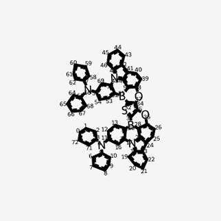 c1ccc(N(c2ccccc2)c2ccc3c(c2)-n2c4ccccc4c4ccc5c(c42)B3c2sc3c(c2O5)Oc2ccc4c5ccccc5n5c4c2B3c2ccc(N(c3ccccc3)c3ccccc3)cc2-5)cc1